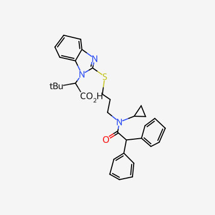 CC(C)(C)C(C(=O)O)n1c(SCCCN(C(=O)C(c2ccccc2)c2ccccc2)C2CC2)nc2ccccc21